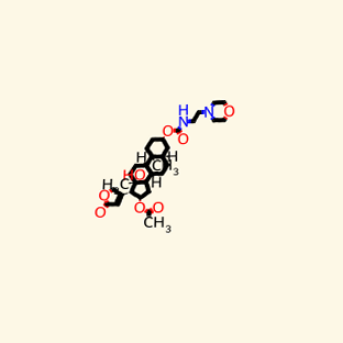 CC(=O)O[C@H]1C[C@]2(O)[C@@H]3CC[C@@H]4C[C@@H](OC(=O)NCCN5CCOCC5)CC[C@]4(C)[C@H]3CC[C@]2(C)[C@H]1C1=CC(=O)OC1